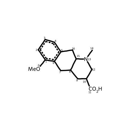 COc1cccc2c1CC1CC(C(=O)O)CN(C)C1C2